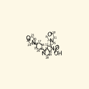 O=C(O)n1c(CN2CCOCC2)cc2c(-c3ccc(N4CCOCC4)cc3)nccc21